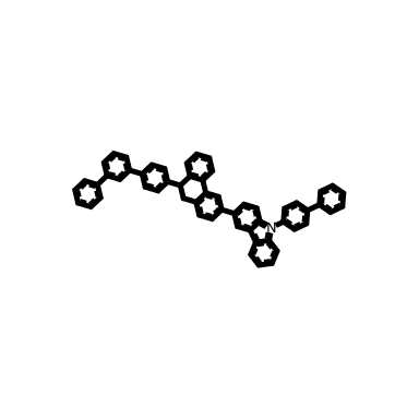 c1ccc(-c2ccc(-n3c4ccccc4c4cc(-c5ccc6c(c5)-c5ccccc5C(c5ccc(-c7cccc(-c8ccccc8)c7)cc5)C6)ccc43)cc2)cc1